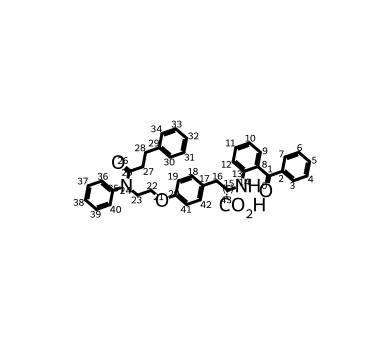 O=C(c1ccccc1)c1ccccc1N[C@@H](Cc1ccc(OCCN(C(=O)CCc2ccccc2)c2ccccc2)cc1)C(=O)O